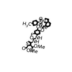 COC(=O)c1scc(NC(=O)Nc2cc(OCc3cccc4ccn(S(=O)(=O)c5ccc(C)cc5)c34)c(OC)cc2F)c1C(=O)OC